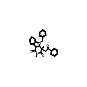 CN1C(=O)c2c(n(Cc3ccccc3)c3ccccc23)C(C)(CC(=O)c2ccccc2)C1=O